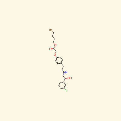 O=C(COc1ccc(CCNCC(O)c2cccc(Cl)c2)cc1)OCCCCBr